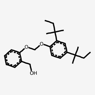 CCC(C)(C)c1ccc(OCOc2ccccc2CO)c(C(C)(C)CC)c1